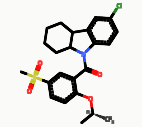 C[C@H](Oc1ccc(S(C)(=O)=O)cc1C(=O)N1c2ccc(Cl)cc2C2CCCCC21)C(F)(F)F